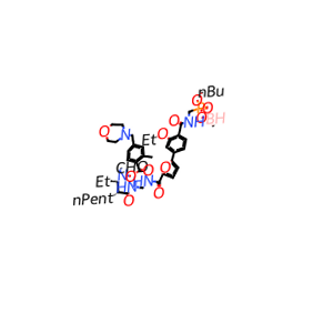 CBOP(=O)(CNC(=O)c1ccc(-c2ccc(C(=O)NCNC(=O)[C@H](CCCCC)[C@@H](CC)N(C=O)OC(=O)c3ccc(CN4CCOCC4)cc3C)o2)cc1OCC)OCCCC